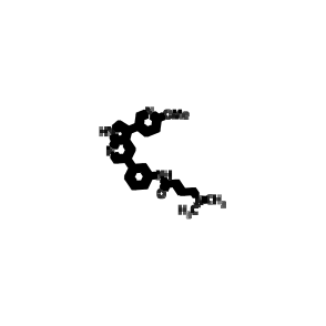 COc1ccc(-c2c[nH]c3ncc(-c4cccc(NC(=O)C=CCN(C)C)c4)cc23)cn1